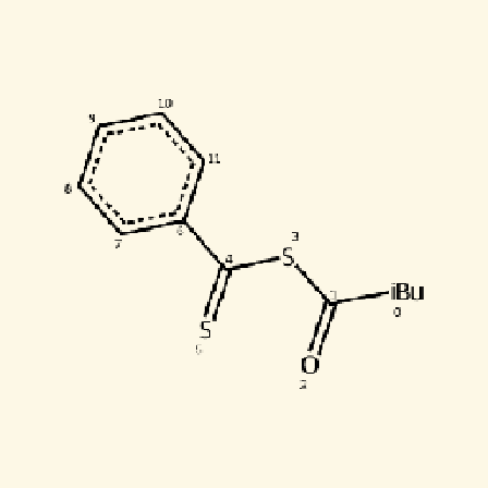 CCC(C)C(=O)SC(=S)c1ccccc1